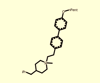 CCCCCOc1ccc(-c2ccc(CC[Si]3(C)CCC(CC(C)C)CC3)cc2)cc1